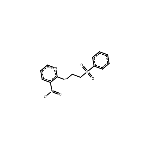 O=[N+]([O-])c1cccnc1SCCS(=O)(=O)c1ccccc1